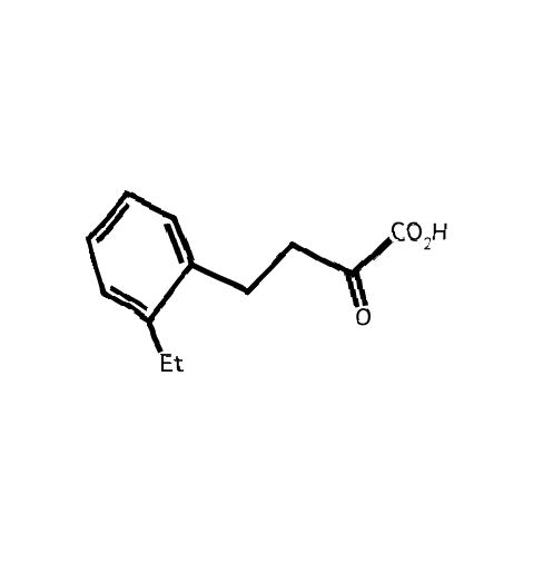 CCc1ccccc1CCC(=O)C(=O)O